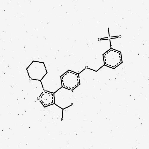 CS(=O)(=O)c1cccc(COc2ccc(-c3c(C(F)F)cnn3C3CCCCO3)nc2)c1